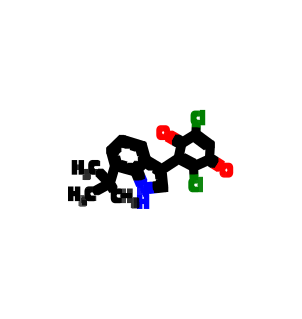 CC(C)(C)c1cccc2c(C3=C(Cl)C(=O)C=C(Cl)C3=O)c[nH]c12